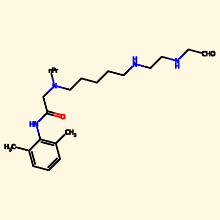 CCCN(CCCCCNCCNCC=O)CC(=O)Nc1c(C)cccc1C